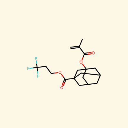 C=C(C)C(=O)OC12CC3CC(C1)CC(C(=O)OCCC(F)(F)F)(C3)C2